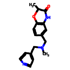 CC1Oc2ccc(CN(C)Cc3ccncc3)cc2NC1=O